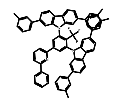 Cc1cccc(-c2ccc3c4ccc(-c5cccc(C)c5)cc4n(-c4cc(-c5cccc(-c6ccccc6)n5)cc(-n5c6cc(-c7cccc(C)c7)ccc6c6ccc(-c7cccc(C)c7)cc65)c4C(F)(F)F)c3c2)c1